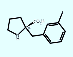 O=C(O)[C@]1(Cc2cccc(I)c2)CCCN1